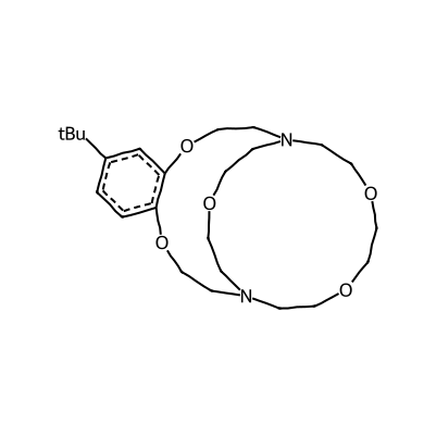 CC(C)(C)c1ccc2c(c1)OCCN1CCOCCOCCN(CCOCC1)CCO2